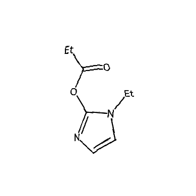 CCC(=O)Oc1nccn1CC